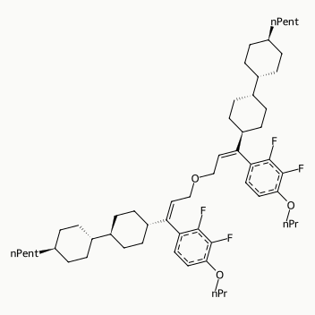 CCCCC[C@H]1CC[C@H]([C@H]2CC[C@H](C(=CCOCC=C(c3ccc(OCCC)c(F)c3F)[C@H]3CC[C@H]([C@H]4CC[C@H](CCCCC)CC4)CC3)c3ccc(OCCC)c(F)c3F)CC2)CC1